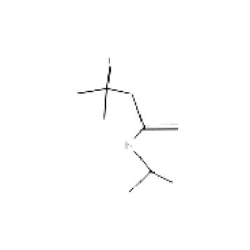 C=C(CC(F)(F)F)NC(C)C